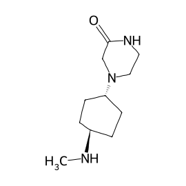 CN[C@H]1CC[C@H](N2CCNC(=O)C2)CC1